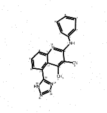 Cc1c(C#N)c(Nc2ccccc2)nc2cccc(-c3nnn[nH]3)c12